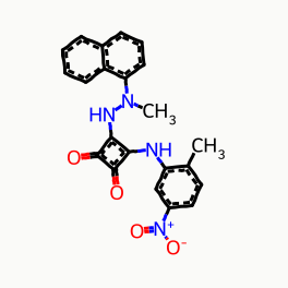 Cc1ccc([N+](=O)[O-])cc1Nc1c(NN(C)c2cccc3ccccc23)c(=O)c1=O